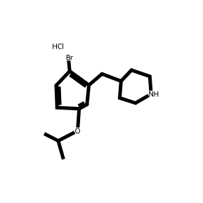 CC(C)Oc1ccc(Br)c(CC2CCNCC2)c1.Cl